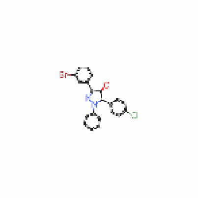 O=C1C(c2cccc(Br)c2)=NN(c2ccccc2)C1c1ccc(Cl)cc1